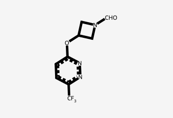 O=CN1CC(Oc2ccc(C(F)(F)F)nn2)C1